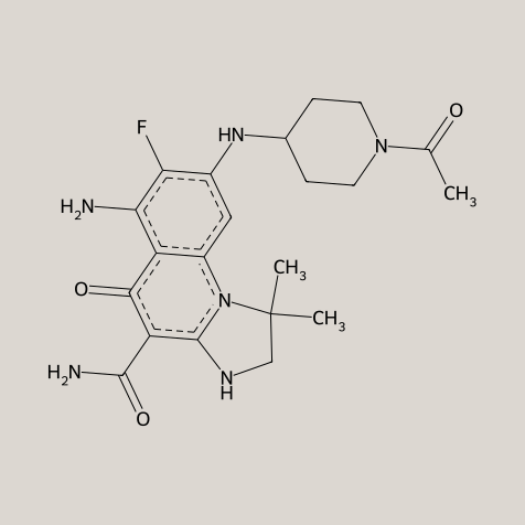 CC(=O)N1CCC(Nc2cc3c(c(N)c2F)c(=O)c(C(N)=O)c2n3C(C)(C)CN2)CC1